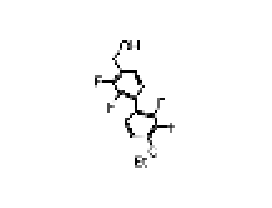 CCOc1ccc(-c2ccc(CO)c(F)c2F)c(F)c1F